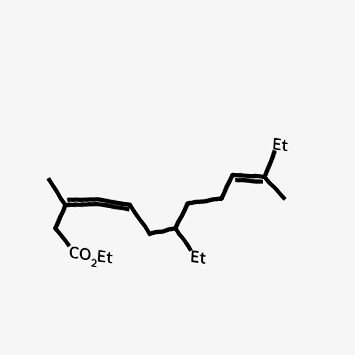 CCOC(=O)CC(C)=C=CCC(CC)CCC=C(C)CC